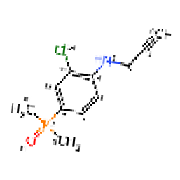 C#CCNc1ccc(P(C)(C)=O)cc1Cl